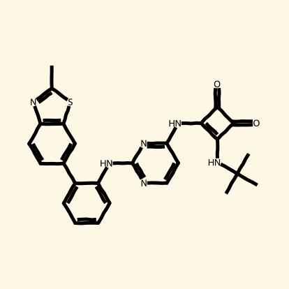 Cc1nc2ccc(-c3ccccc3Nc3nccc(Nc4c(NC(C)(C)C)c(=O)c4=O)n3)cc2s1